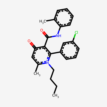 CCCCn1c(C)cc(=O)c(C(=O)Nc2ccccc2C)c1-c1cccc(Cl)c1